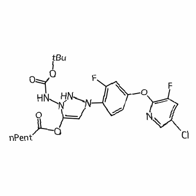 CCCCCC(=O)OC1=CN(c2ccc(Oc3ncc(Cl)cc3F)cc2F)NN1NC(=O)OC(C)(C)C